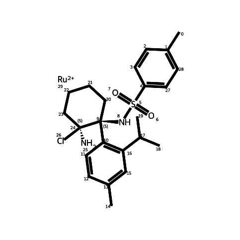 Cc1ccc(S(=O)(=O)N[C@]2(c3ccc(C)cc3C(C)C)CCCC[C@]2(N)Cl)cc1.[Ru+2]